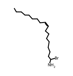 CCCCCCCC/C=C\CCCCCCCC(N)Br